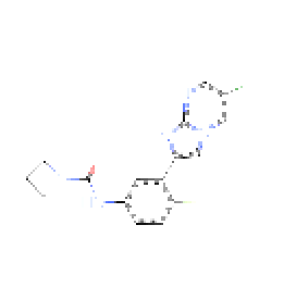 O=C(Nc1ccc(F)c(-c2cn3cc(Cl)cnc3n2)c1)N1CCC1